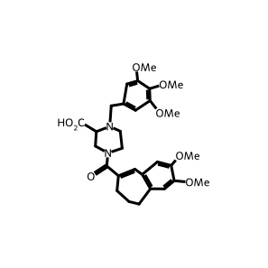 COc1cc2c(cc1OC)CCCC(C(=O)N1CCN(Cc3cc(OC)c(OC)c(OC)c3)C(C(=O)O)C1)=C2